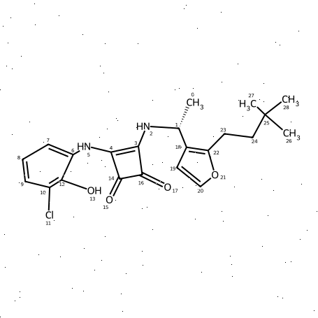 C[C@@H](Nc1c(Nc2cccc(Cl)c2O)c(=O)c1=O)c1ccoc1CCC(C)(C)C